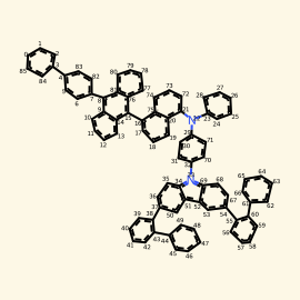 c1ccc(-c2ccc(-c3c4ccccc4c(-c4cccc5c(N(c6ccccc6)c6ccc(-n7c8ccc(-c9ccccc9-c9ccccc9)cc8c8cc(-c9ccccc9-c9ccccc9)ccc87)cc6)cccc45)c4ccccc34)cc2)cc1